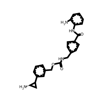 Nc1ccccc1NC(=O)c1ccc(CNC(=O)OCc2cccc(C3C[C@@H]3N)c2)cc1